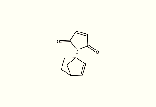 C1=CC2CCC1C2.O=C1C=CC(=O)N1